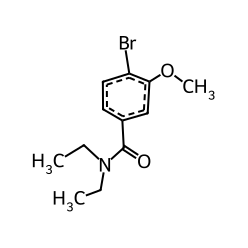 CCN(CC)C(=O)c1ccc(Br)c(OC)c1